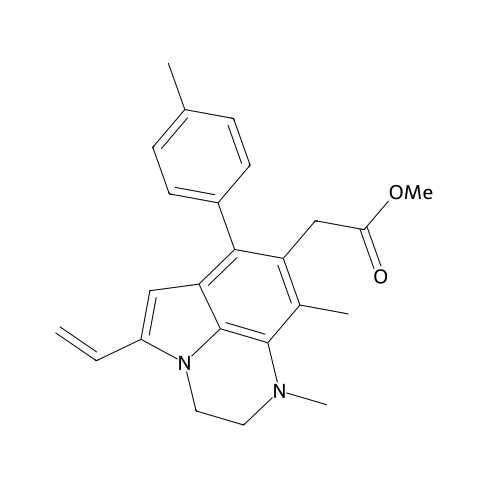 C=Cc1cc2c(-c3ccc(C)cc3)c(CC(=O)OC)c(C)c3c2n1CCN3C